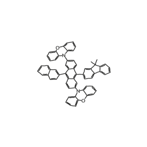 CC1(C)c2ccccc2-c2ccc(-c3c4ccc(N5c6ccccc6Oc6ccccc65)cc4c(-c4ccc5ccccc5c4)c4ccc(N5c6ccccc6Oc6ccccc65)cc34)cc21